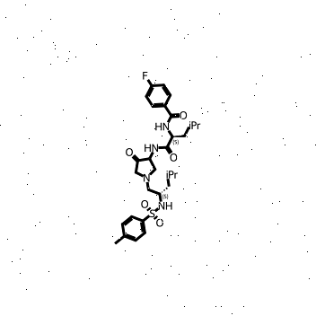 Cc1ccc(S(=O)(=O)N[C@@H](CC(C)C)CN2CC(=O)C(NC(=O)[C@H](CC(C)C)NC(=O)c3ccc(F)cc3)C2)cc1